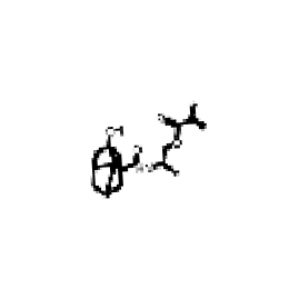 C=C(C)C(=O)OCC(C)NC(=O)C12CC3CC(CC(O)(C3)C1)C2